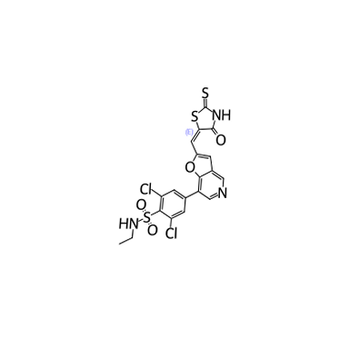 CCNS(=O)(=O)c1c(Cl)cc(-c2cncc3cc(/C=C4/SC(=S)NC4=O)oc23)cc1Cl